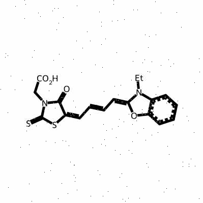 CCN1/C(=C/C=C/C=C2/SC(=S)N(CC(=O)O)C2=O)Oc2ccccc21